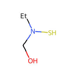 CCN(S)CO